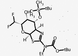 CCN(C(=O)OC(C)(C)C)C1=N[C@@H]2[C@@H](O[Si](C)(C)C(C)(C)C)[C@@H](O)[C@@H](C(F)F)O[C@@H]2S1